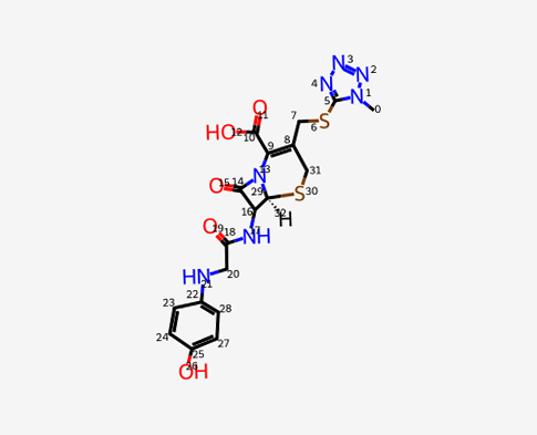 Cn1nnnc1SCC1=C(C(=O)O)N2C(=O)C(NC(=O)CNc3ccc(O)cc3)[C@@H]2SC1